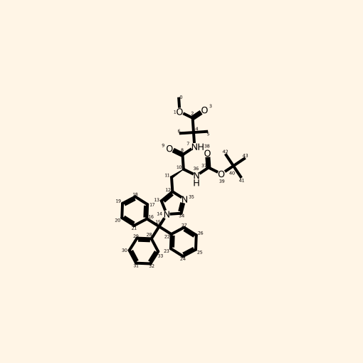 COC(=O)C(C)(C)NC(=O)[C@H](Cc1cn(C(c2ccccc2)(c2ccccc2)c2ccccc2)cn1)NC(=O)OC(C)(C)C